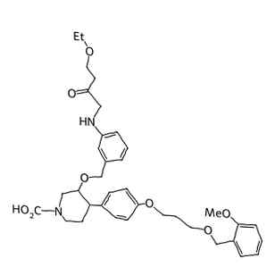 CCOCCC(=O)CNc1cccc(COC2CN(C(=O)O)CCC2c2ccc(OCCCOCc3ccccc3OC)cc2)c1